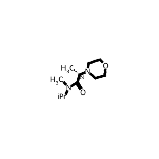 CC(C)N(C)C(=O)[C@H](C)N1CCOCC1